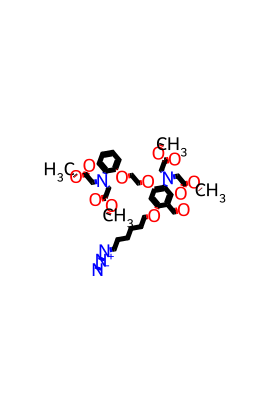 COC(=O)CN(CC(=O)OC)c1ccccc1OCCOc1cc(OCCCCCCN=[N+]=[N-])c(C=O)cc1N(CC(=O)OC)CC(=O)OC